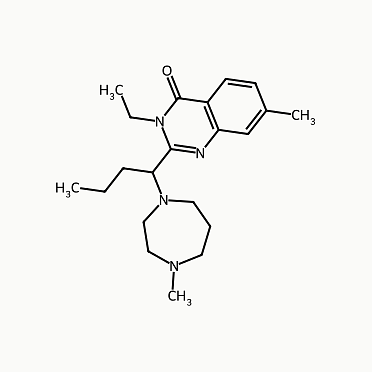 CCCC(c1nc2cc(C)ccc2c(=O)n1CC)N1CCCN(C)CC1